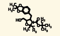 CC(C)(C)OC(=O)N1C(Cc2ccc3c(c2)OC(C)(C)O3)C(CO)OC1(C)C